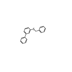 c1ccc(CSc2cccc(-c3ccccc3)c2)cc1